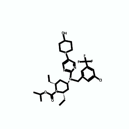 CC[C@@H]1C[C@H](N(Cc2cc(Cl)cc(C(F)(F)F)c2)c2ncc(N3CCC(O)CC3)cn2)C[C@H](CC)N1C(=O)OC(C)C